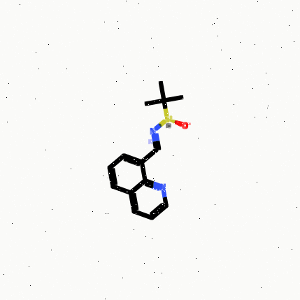 CC(C)(C)[S@@+]([O-])/N=C/c1cccc2cccnc12